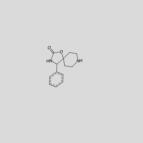 O=C1NC(c2ccccc2)C2(CCNCC2)O1